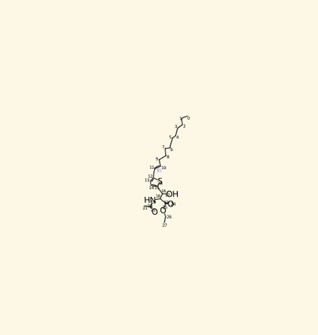 CCCCCCCCCC/C=C/c1ccc(C(O)C(NC(C)=O)C(=O)OCC)s1